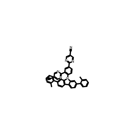 Cc1ccccc1-c1ccc2c3ccc(-c4ccccc4C)cc3n(-c3ccc(-c4ncc(C#N)cn4)cc3-c3ncc(C#N)cn3)c2c1